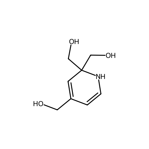 OCC1=CC(CO)(CO)NC=C1